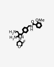 COc1ccccc1C(=O)NCc1ccc(-c2nn([C@@H]3CCOC[C@@H]3F)c(N)c2CN)cc1